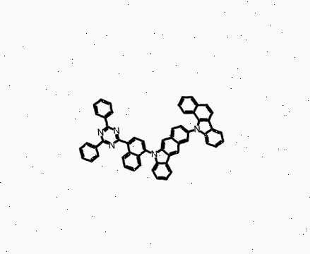 c1ccc(-c2nc(-c3ccccc3)nc(-c3ccc(-n4c5ccccc5c5cc6cc(-n7c8ccccc8c8ccc9ccccc9c87)ccc6cc54)c4ccccc34)n2)cc1